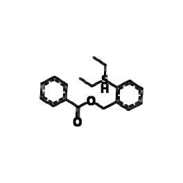 CC[SH](CC)c1ccccc1COC(=O)c1ccccc1